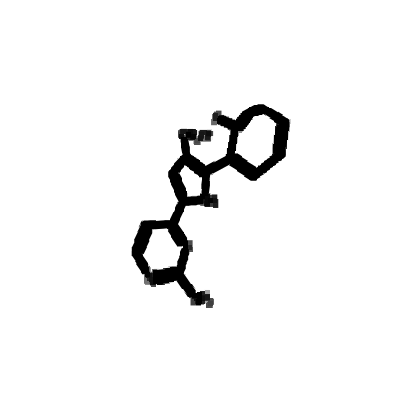 CCOC(=O)c1cc(-c2ccnc(N)n2)[nH]c1-c1ccccc1F